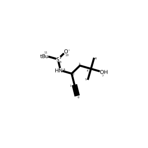 C#CC(CC(C)(C)O)N[S+]([O-])C(C)(C)C